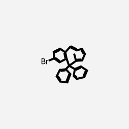 C\C1=C/C=C\C=C\c2ccc(Br)cc2C1(c1ccccc1)c1ccccc1